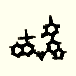 O=c1[nH]cc(-c2cc([C@@H]3C[C@H]3c3cc(C(F)(F)F)c4ncccc4c3)c3nccn3n2)c(=O)[nH]1